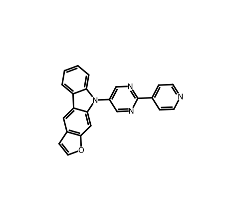 c1ccc2c(c1)c1cc3ccoc3cc1n2-c1cnc(-c2ccncc2)nc1